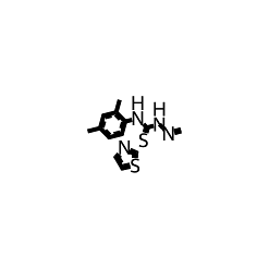 C=NNC(=S)Nc1ccc(C)cc1C.c1cscn1